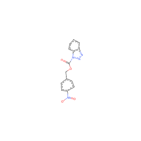 O=C(OCc1ccc([N+](=O)[O-])cc1)n1nnc2ccccc21